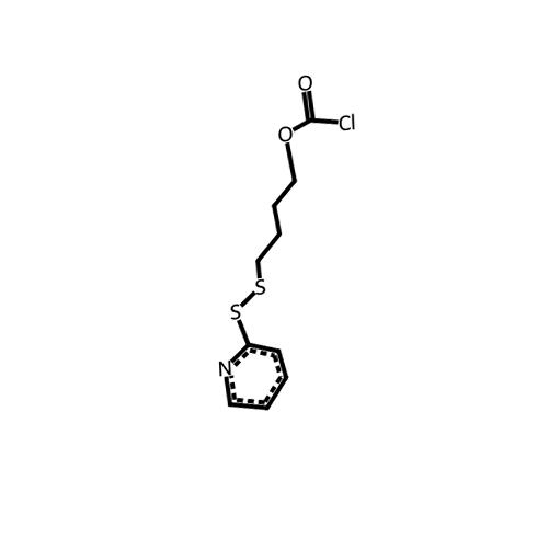 O=C(Cl)OCCCCSSc1ccccn1